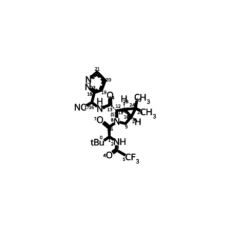 CC(C)(C)C(NC(=O)C(F)(F)F)C(=O)N1C[C@H]2[C@@H]([C@H]1C(=O)NC(C#N)c1cccnn1)C2(C)C